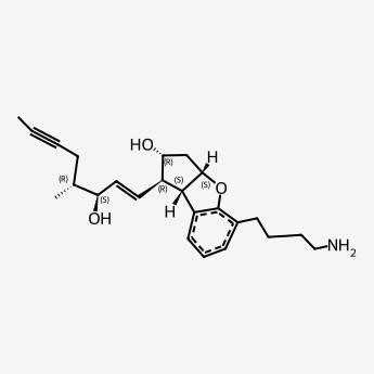 CC#CC[C@@H](C)[C@H](O)C=C[C@@H]1[C@H]2c3cccc(CCCCN)c3O[C@H]2C[C@H]1O